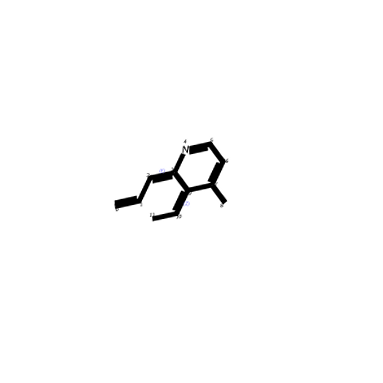 C=C/C=c1/nccc(C)/c1=C/C